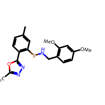 COc1ccc(CNSc2cc(C)ccc2-c2nnc(C(F)(F)F)o2)c(OC)c1